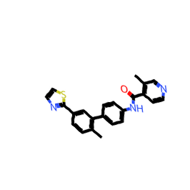 Cc1cnccc1C(=O)Nc1ccc(-c2cc(-c3nccs3)ccc2C)cc1